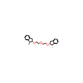 C[C@H]1c2ccccc2C[C@H]1OCCOCCO[C@@H]1Cc2ccccc2[C@@H]1C